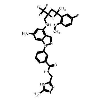 COc1ccc(F)cc1C1(C)CC(CNc2cc(C)cc3c2cnn3-c2cccc(C(=O)NCc3nnc(C)[nH]3)c2)(C(F)(F)F)O1